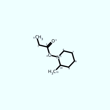 CCC(=O)ON1CCCCC1C